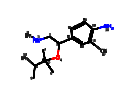 CC(C)NCC(O[Si](C)(C)C(C)C(C)C)c1ccc(N)c(C#N)c1